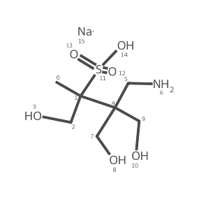 CC(CO)(C(CN)(CO)CO)S(=O)(=O)O.[Na]